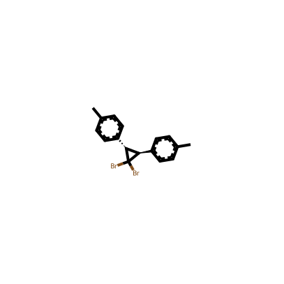 Cc1ccc([C@@H]2[C@@H](c3ccc(C)cc3)C2(Br)Br)cc1